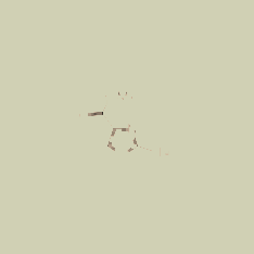 COC(=O)c1coc(C(C)(C)C)n1